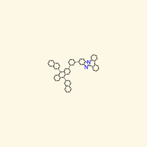 c1cc(-c2ccc3c(c2)nc2c4ccccc4c4ccccc4n32)cc(-c2ccc3c(-c4ccc5ccccc5c4)c4ccccc4c(-c4ccc5ccccc5c4)c3c2)c1